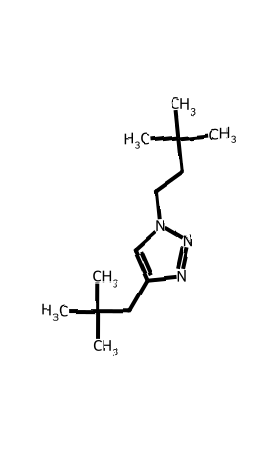 CC(C)(C)CCn1cc(CC(C)(C)C)nn1